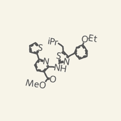 CCOc1cccc(-c2nc(Nc3nc(-c4cccs4)ccc3C(=O)OC)sc2CC(C)C)c1